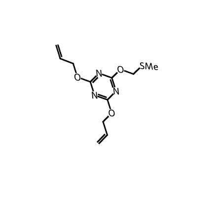 C=CCOc1nc(OCC=C)nc(OCSC)n1